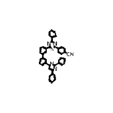 N#Cc1ccc(-c2nc(-c3ccccc3)nc(-c3cccc(-c4cccc(-c5cc(-c6ccccc6)nc(-c6ccccc6)n5)c4)c3)n2)cc1